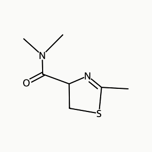 CC1=NC(C(=O)N(C)C)CS1